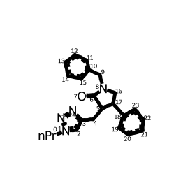 CCCn1cc(CC2C(=O)N(Cc3ccccc3)CC2c2ccccc2)nn1